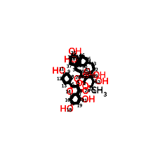 C[C@H]1OC(Oc2c(-c3ccc(O)cc3)oc3cc(O)cc(O)c3c2=O)[C@](O)(C(=O)C=Cc2ccc(O)cc2)[C@](O)(C(=O)/C=C\c2ccc(O)cc2)[C@@H]1O